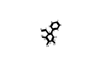 C=Cc1c(-c2ccccc2)cc(C)c(C)c1C